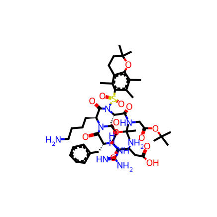 Cc1c(C)c(S(=O)(=O)N(C(=O)[C@H](CCCCN)N(C(=O)OC(C)(C)C)C(=O)[C@@H](Cc2ccccc2)NC(=O)[C@@H](N)CC(=O)O)[C@@H](CCCNC(=N)N)C(=O)NCC(=O)OC(C)(C)C)c(C)c2c1OC(C)(C)CC2